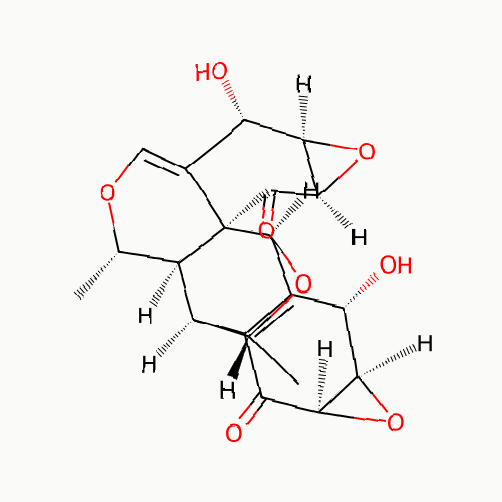 C[C@@H]1OC=C2[C@H](O)[C@H]3O[C@H]3C(=O)[C@]23[C@H]1[C@H]1C2=C([C@H](O)[C@H]4O[C@H]4C2=O)[C@@H]3O[C@@H]1C